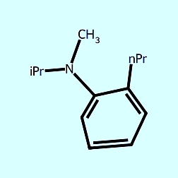 CCCc1ccccc1N(C)C(C)C